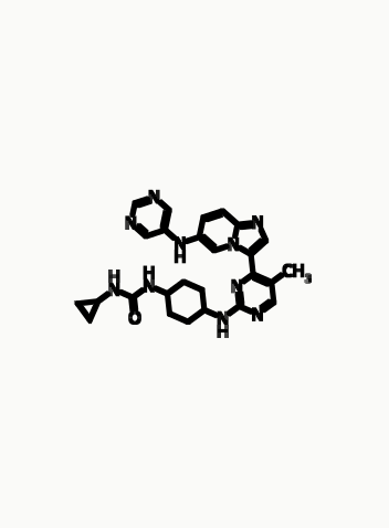 Cc1cnc(NC2CCC(NC(=O)NC3CC3)CC2)nc1-c1cnc2ccc(Nc3cncnc3)cn12